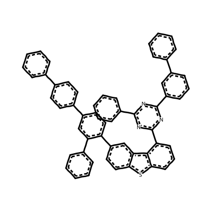 c1ccc(-c2ccc(-c3ccc(-c4ccc5sc6cccc(-c7nc(-c8ccccc8)nc(-c8cccc(-c9ccccc9)c8)n7)c6c5c4)c(-c4ccccc4)c3)cc2)cc1